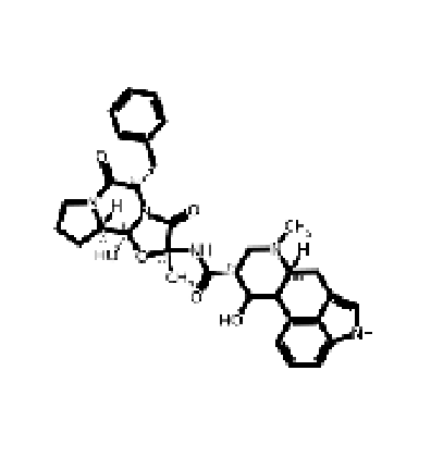 CN1C[C@H](C(=O)N[C@]2(C)O[C@@]3(O)[C@@H]4CCCN4C(=O)[C@H](Cc4ccccc4)N3C2=O)C(O)C2c3cccc4[nH]cc(c34)C[C@H]21